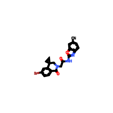 N#Cc1ccc2nc(NC(=O)CN3CC4(CC4)c4cc(Br)ccc4C3=O)oc2c1